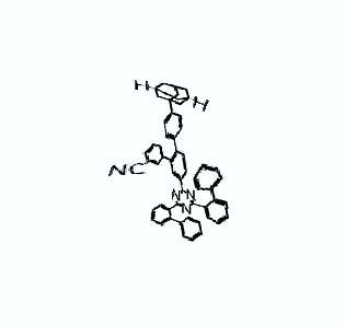 N#Cc1cccc(-c2cc(-c3nc(-c4ccccc4-c4ccccc4)nc(-c4ccccc4-c4ccccc4)n3)ccc2-c2ccc(C34CC5C[C@H](C3)C[C@@H](C5)C4)cc2)c1